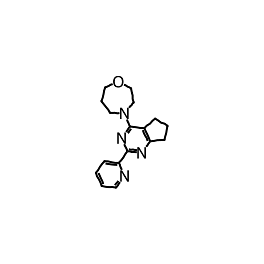 c1ccc(-c2nc3c(c(N4CCCOCC4)n2)CCC3)nc1